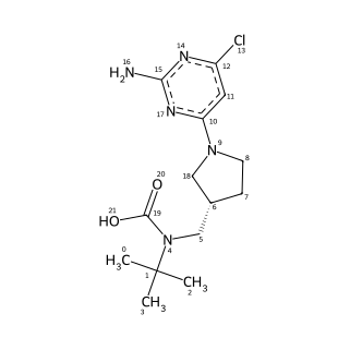 CC(C)(C)N(C[C@H]1CCN(c2cc(Cl)nc(N)n2)C1)C(=O)O